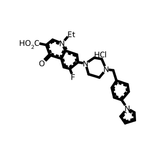 CCn1cc(C(=O)O)c(=O)c2cc(F)c(N3CCN(Cc4ccc(-n5cccc5)cc4)CC3)cc21.Cl